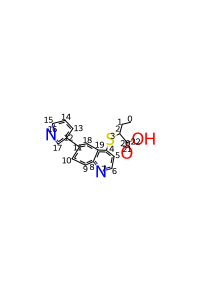 CCC(Sc1ccnc2ccc(-c3cccnc3)cc12)C(=O)O